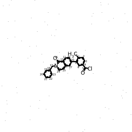 Cc1ccc(C(=O)Cl)cc1-c1ccc2c(=O)n(Cc3ccccc3)ccc2c1